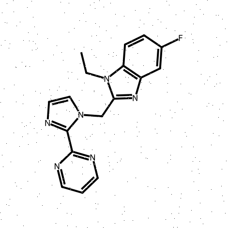 CCn1c(Cn2ccnc2-c2ncccn2)nc2cc(F)ccc21